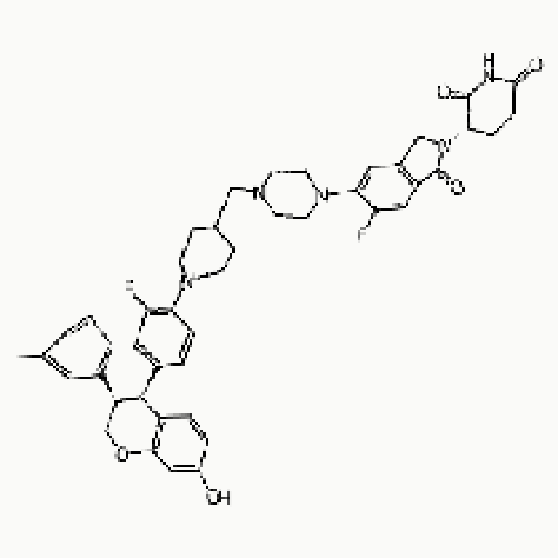 Cc1cccc([C@@H]2COc3cc(O)ccc3[C@@H]2c2ccc(N3CCC(CN4CCN(c5cc6c(cc5F)C(=O)N([C@H]5CCC(=O)NC5=O)C6)CC4)CC3)c(F)c2)c1